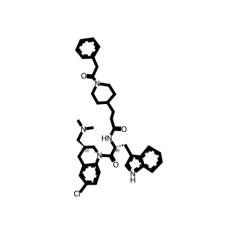 CN(C)C[C@@H]1Cc2cc(Cl)ccc2N(C(=O)[C@@H](Cc2c[nH]c3ccccc23)NC(=O)CCC2CCN(C(=O)Cc3ccccc3)CC2)C1